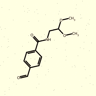 COC(CNC(=O)c1ccc(C=O)cc1)OC